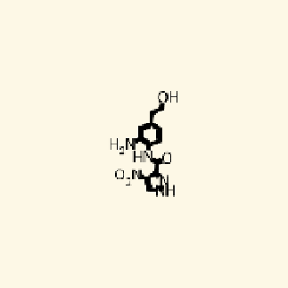 Nc1cc(CCO)ccc1NC(=O)c1n[nH]cc1[N+](=O)[O-]